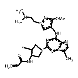 C=CC(=O)NC1CN(c2nc(Nc3cn(CCN(C)C)nc3OC)c3ncc(C)n3n2)CC1F